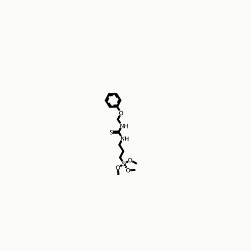 CO[Si](CCCNC(=S)NCOc1ccccc1)(OC)OC